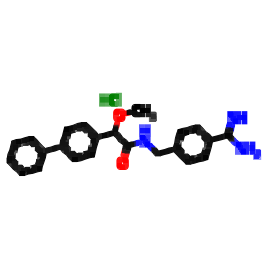 COC(C(=O)NCc1ccc(C(=N)N)cc1)c1ccc(-c2ccccc2)cc1.Cl